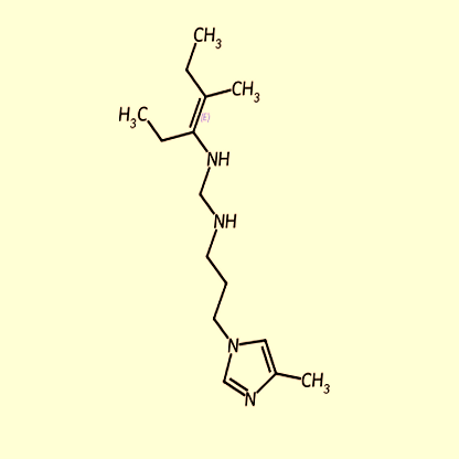 CC/C(C)=C(\CC)NCNCCCn1cnc(C)c1